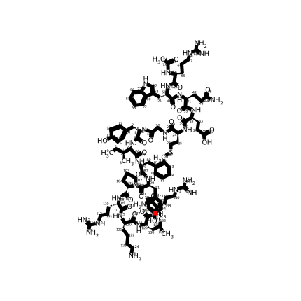 CC[C@H](C)[C@H](NC(=O)[C@H](Cc1ccc(O)cc1)NC(=O)CNC(=O)[C@H](CCSC)NC(=O)[C@H](CCC(=O)O)NC(=O)[C@H](CCC(N)=O)NC(=O)[C@H](Cc1c[nH]c2ccccc12)NC(=O)[C@H](CCCNC(=N)N)NC(C)=O)C(=O)N[C@@H](Cc1ccccc1)C(=O)N[C@@H](Cc1ccc(O)cc1)C(=O)N1CCC[C@H]1C(=O)N[C@@H](CCCNC(=N)N)C(=O)N[C@@H](CCCCN)C(=O)N[C@@H](CC(C)C)C(=O)N[C@@H](CCCNC(=N)N)C(N)=O